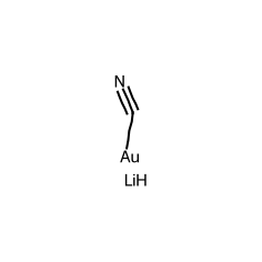 N#[C][Au].[LiH]